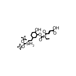 CCN(C(=O)C=CC(=O)O)C(=O)OC1CC(CC[SiH2]C(O[Si](C)(C)C)O[Si](C)(C)C)CCC1O